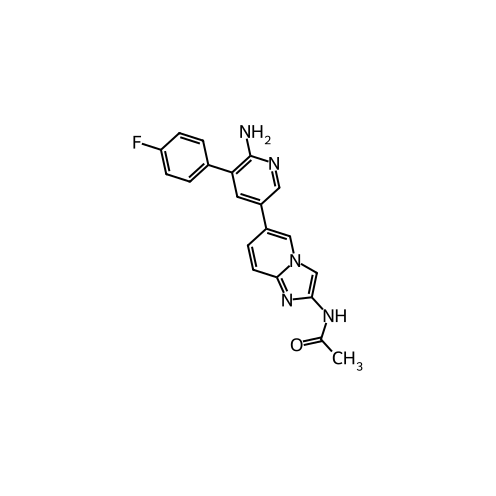 CC(=O)Nc1cn2cc(-c3cnc(N)c(-c4ccc(F)cc4)c3)ccc2n1